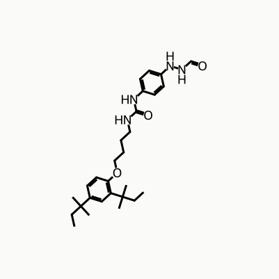 CCC(C)(C)c1ccc(OCCCCNC(=O)Nc2ccc(NNC=O)cc2)c(C(C)(C)CC)c1